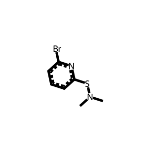 CN(C)Sc1cccc(Br)n1